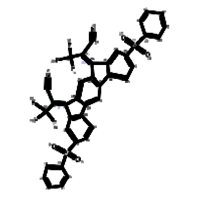 N#C/C(=C1/c2cc(S(=O)(=O)c3ccccc3)ccc2-c2cc3c(cc21)/C(=C(/C#N)C(F)(F)F)c1cc(S(=O)(=O)c2ccccc2)ccc1-3)C(F)(F)F